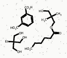 CC(C)(CO)COC(=O)CCCCC(=O)O.CCC(CO)(CO)CO.O=C(O)c1cccc(C(=O)O)c1